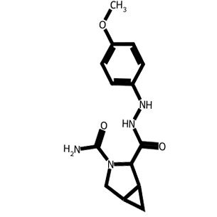 COc1ccc(NNC(=O)C2C3CC3CN2C(N)=O)cc1